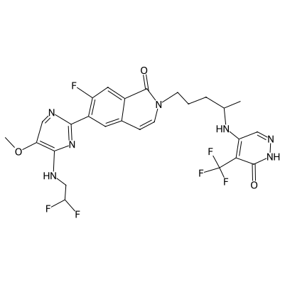 COc1cnc(-c2cc3ccn(CCCC(C)Nc4cn[nH]c(=O)c4C(F)(F)F)c(=O)c3cc2F)nc1NCC(F)F